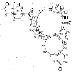 C[C@@H]1[C@@H](C)CCCC2(C[C@H]2C(=O)N2CCN3CCOC[C@H]3C2)[C@@H]2CC[C@H]2CN2CCCCc3cc(Cl)ccc3COc3ccc(cc32)C(=O)NS1(=O)=O